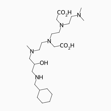 CN(C)CCN(CCN(CCN(C)CC(O)CNCC1CCCCC1)CC(=O)O)CC(=O)O